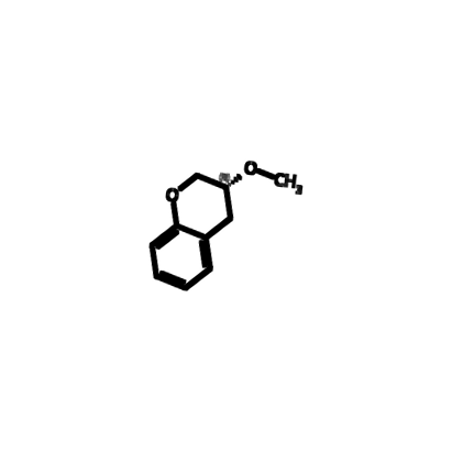 CO[C@H]1COc2ccccc2C1